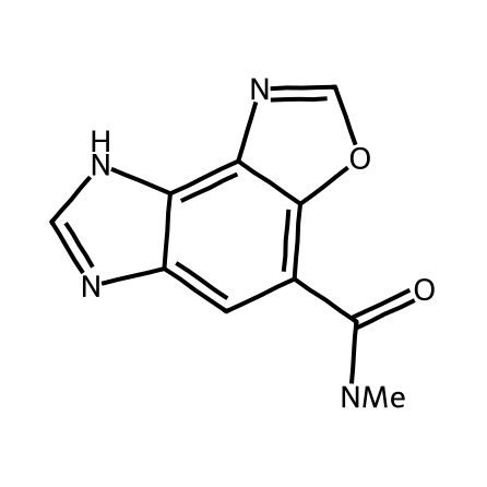 CNC(=O)c1cc2nc[nH]c2c2ncoc12